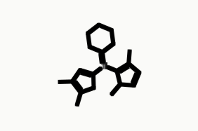 CC1=C(C)C[C]([Ti]([C]2=C(C)C=CC2C)=[C]2CCCCC2)=C1